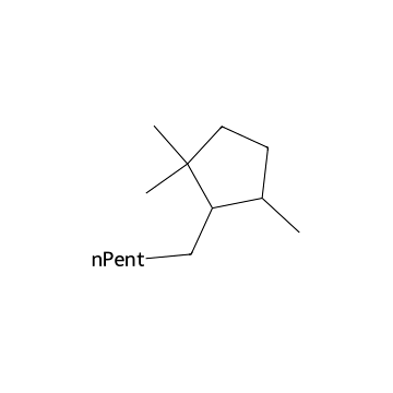 [CH2]CCCCCC1C(C)CCC1(C)C